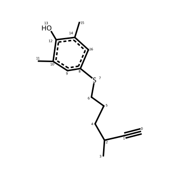 C#CC(C)CCCSc1cc(C)c(O)c(C)c1